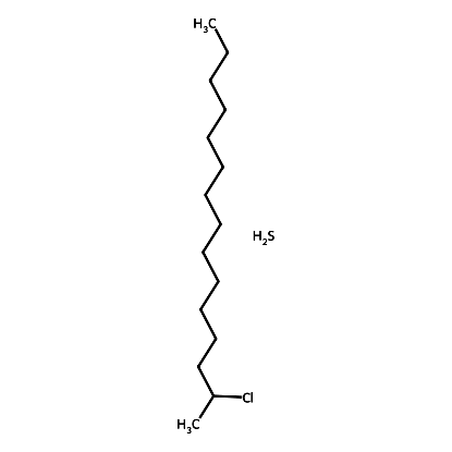 CCCCCCCCCCCCCC(C)Cl.S